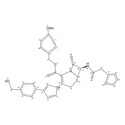 COc1ccc(COC(=O)C2=C([SH]3C=CC(c4ccc(CO)cc4)=C3)CSC3[C@H](NC(=O)Cc4cccs4)C(=O)N23)cc1